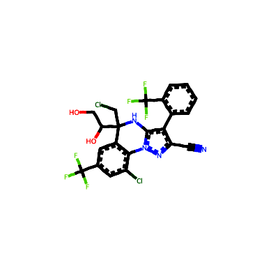 N#Cc1nn2c(c1-c1ccccc1C(F)(F)F)NC(CCl)(C(O)CO)c1cc(C(F)(F)F)cc(Cl)c1-2